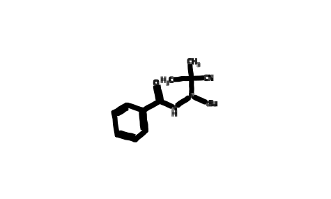 CC(C)(C)N(NC(=O)c1ccccc1)C(C)(C)C#N